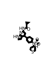 O=C(Nc1cc(-c2ccc(N(C3=CCSC=C3)[SH](=O)=O)cc2)c2cc[nH]c2n1)C1CC1